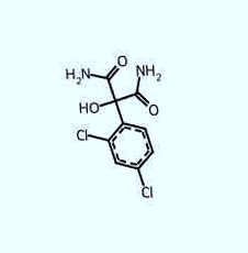 NC(=O)C(O)(C(N)=O)c1ccc(Cl)cc1Cl